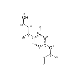 CCC(C)Oc1ccc(C(C)CCO)c(C)c1